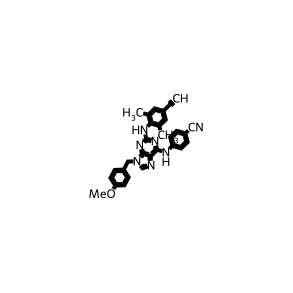 C#Cc1cc(C)c(Nc2nc(Nc3ccc(C#N)cc3)c3ncn(Cc4ccc(OC)cc4)c3n2)c(C)c1